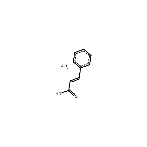 O=C(O)/C=C/c1ccccc1.[AlH3]